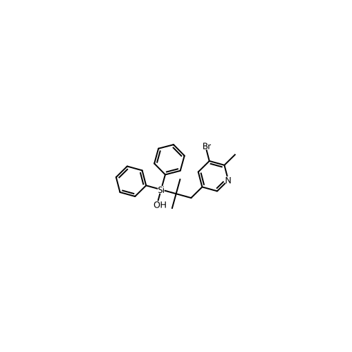 Cc1ncc(CC(C)(C)[Si](O)(c2ccccc2)c2ccccc2)cc1Br